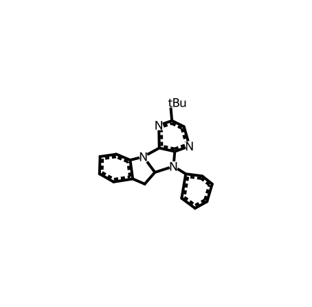 CC(C)(C)c1cnc2c(n1)N1c3ccccc3CC1N2c1ccccc1